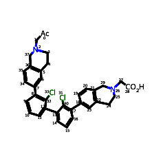 CC(=O)CN1CCc2cc(-c3cccc(-c4cccc(-c5ccc6c(c5)CCN(CC(=O)O)C6)c4Cl)c3Cl)ccc2C1